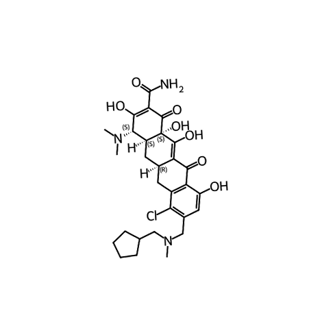 CN(Cc1cc(O)c2c(c1Cl)C[C@H]1C[C@H]3[C@H](N(C)C)C(O)=C(C(N)=O)C(=O)[C@@]3(O)C(O)=C1C2=O)CC1CCCC1